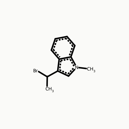 C[C](Br)c1cn(C)c2ccccc12